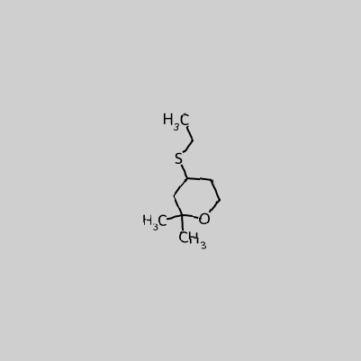 CCSC1CCOC(C)(C)C1